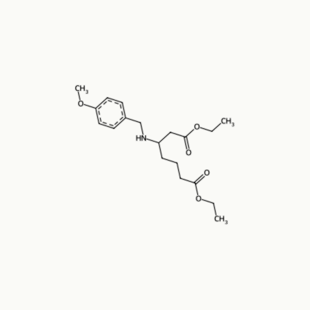 CCOC(=O)CCCC(CC(=O)OCC)NCc1ccc(OC)cc1